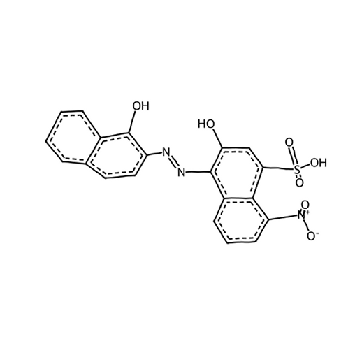 O=[N+]([O-])c1cccc2c(/N=N/c3ccc4ccccc4c3O)c(O)cc(S(=O)(=O)O)c12